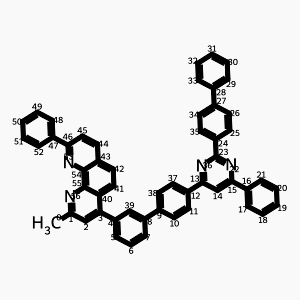 Cc1cc(-c2cccc(-c3ccc(-c4cc(-c5ccccc5)nc(-c5ccc(-c6ccccc6)cc5)n4)cc3)c2)c2ccc3ccc(-c4ccccc4)nc3c2n1